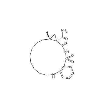 NC(=O)[C@@]12C[C@H]1CCCCCCCCNc1ccccc1S(=O)(=O)NC2=O